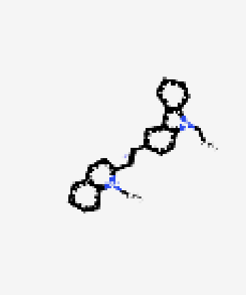 CCn1c2ccccc2c2cc(/C=C/c3ccc4ccccc4[n+]3C)ccc21